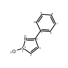 [O-][s+]1ccc(-c2ccccc2)n1